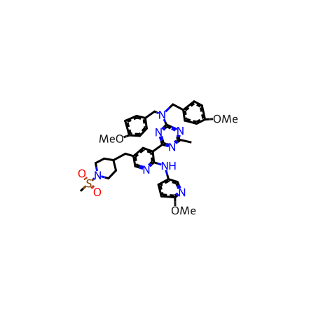 COc1ccc(CN(Cc2ccc(OC)cc2)c2nc(C)nc(-c3cc(CC4CCN(S(C)(=O)=O)CC4)cnc3Nc3ccc(OC)nc3)n2)cc1